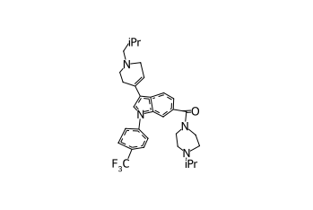 CC(C)CN1CC=C(c2cn(-c3ccc(C(F)(F)F)cc3)c3cc(C(=O)N4CCN(C(C)C)CC4)ccc23)CC1